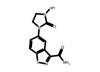 CCCN1CCN(c2ccc3snc(C(N)=O)c3c2)C1=O